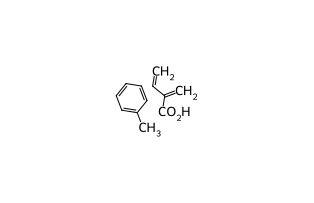 C=CC(=C)C(=O)O.Cc1ccccc1